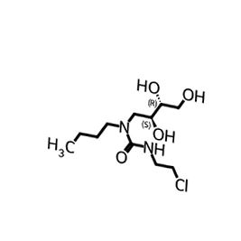 CCCCN(C[C@H](O)[C@H](O)CO)C(=O)NCCCl